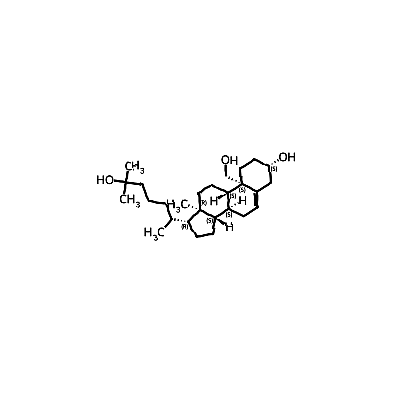 CC(CCCC(C)(C)O)[C@H]1CC[C@H]2[C@@H]3CC=C4C[C@@H](O)CC[C@]4(CO)[C@H]3CC[C@]12C